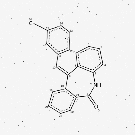 O=C1Nc2ccccc2C(=Cc2cccc(Cl)c2)c2ccccc21